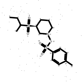 CCC(C)S(=O)(=O)[C@H]1CCCN(SS(=O)(=O)c2ccc(C)cc2)C1